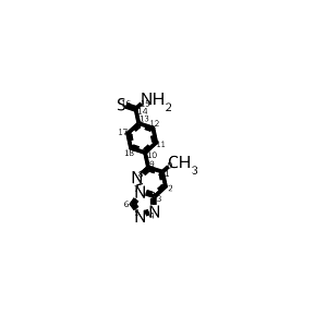 Cc1cc2nncn2nc1-c1ccc(C(N)=S)cc1